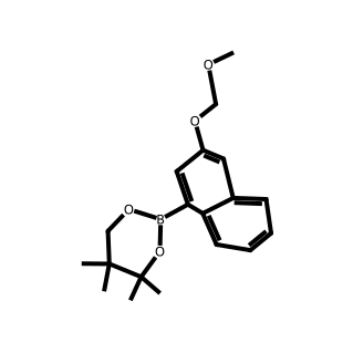 COCOc1cc(B2OCC(C)(C)C(C)(C)O2)c2ccccc2c1